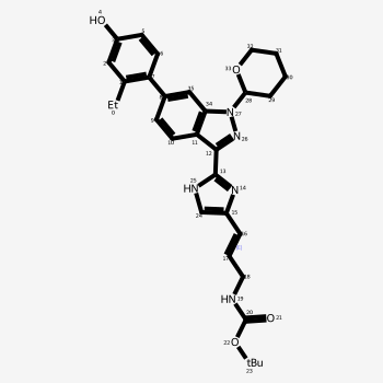 CCc1cc(O)ccc1-c1ccc2c(-c3nc(/C=C/CNC(=O)OC(C)(C)C)c[nH]3)nn(C3CCCCO3)c2c1